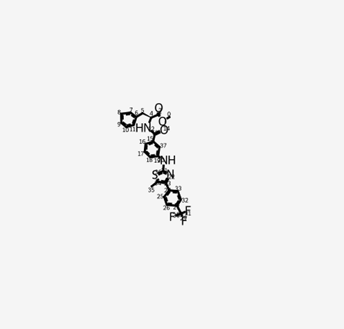 COC(=O)[C@H](Cc1ccccc1)NC(=O)c1cccc(Nc2nc(-c3ccc(C(F)(F)F)cc3)c(C)s2)c1